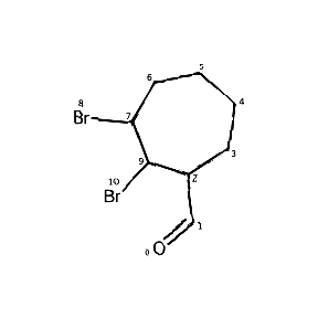 O=CC1CCCCC(Br)C1Br